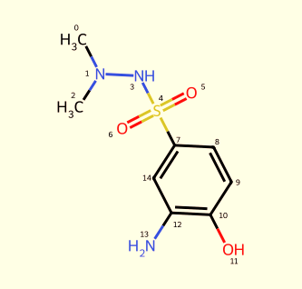 CN(C)NS(=O)(=O)c1ccc(O)c(N)c1